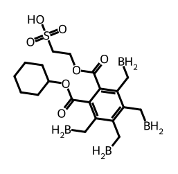 BCc1c(CB)c(CB)c(C(=O)OC2CCCCC2)c(C(=O)OCCS(=O)(=O)O)c1CB